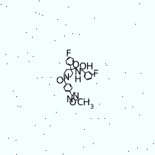 Cc1nc(-c2ccc(C(=O)N3CCC(C(=O)N[C@@H](O)c4cccc(F)c4)(c4ccc(F)cc4)CC3)cc2)no1